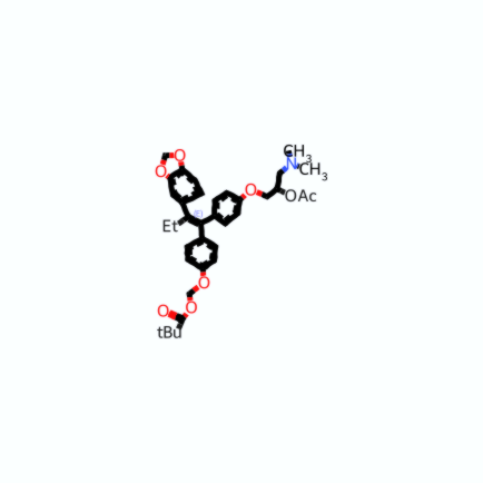 CC/C(=C(\c1ccc(OCOC(=O)C(C)(C)C)cc1)c1ccc(OCC(CN(C)C)OC(C)=O)cc1)c1ccc2c(c1)OCO2